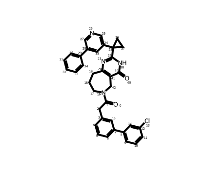 O=C(Cc1cccc(-c2cccc(Cl)c2)c1)N1CCCc2nc(C3(c4cncc(-c5ccccc5)c4)CC3)[nH]c(=O)c2C1